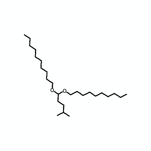 CCCCCCCCCCOC(CCC(C)C)OCCCCCCCCCC